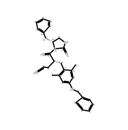 Cc1cc(OCc2ccccc2)cc(C)c1C[C@H](CC=O)C(=O)N1C(=O)OC[C@H]1Cc1ccccc1